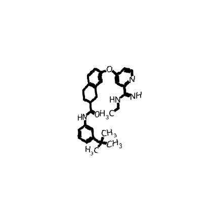 CCNC(=N)c1cc(Oc2ccc3c(c2)CC(C(=O)Nc2cccc(C(C)(C)C)c2)CC3)ccn1